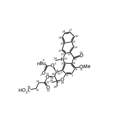 CCCCC(=O)O[C@H]1c2c(cc(OC)c3c(=O)c4cc5ccccc5cc4n(C)c23)OC(C)(C)[C@H]1OC(=O)CCC(=O)O